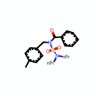 CCCN(CCC)S(=O)(=O)N(Cc1ccc(C)cc1)C(=O)c1ccccc1